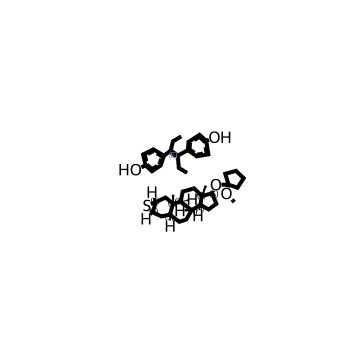 CC/C(=C(/CC)c1ccc(O)cc1)c1ccc(O)cc1.COC1(O[C@H]2CC[C@H]3[C@@H]4CC[C@H]5C[C@@H]6S[C@@H]6C[C@]5(C)[C@H]4CC[C@]23C)CCCC1